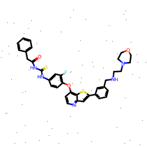 O=C(Cc1ccccc1)NC(=S)Nc1ccc(Oc2ccnc3cc(-c4cccc(CNCCN5CCOCC5)c4)sc23)c(F)c1